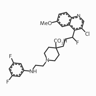 COc1ccc2ncc(Cl)c(C(F)CCC3(C(=O)O)CCN(CCNc4cc(F)cc(F)c4)CC3)c2c1